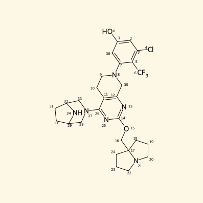 Oc1cc(Cl)c(C(F)(F)F)c(N2CCc3c(nc(OCC45CCCN4CCC5)nc3N3CC4CCC(C3)N4)C2)c1